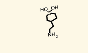 NCCC1CCS(O)(O)CC1